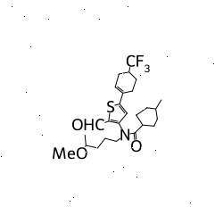 COC(C)CCCN(C(=O)C1CCC(C)CC1)c1cc(C2=CCC(C(F)(F)F)CC2)sc1C=O